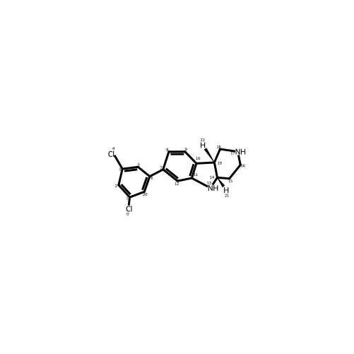 Clc1cc(Cl)cc(-c2ccc3c(c2)N[C@H]2CCNC[C@@H]32)c1